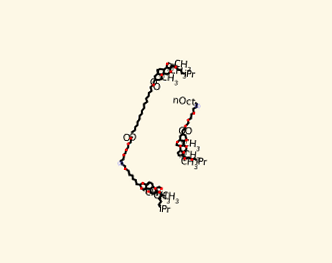 CC(C)CCC[C@@H](C)[C@H]1CCC2C3CC=C4CC(CCCCCCCC/C=C\CCCCCCCC(=O)OCCCCCCCCCCCCCCCCCC(=O)OC5CC[C@@]6(C)C(=CCC7C6CC[C@@]6(C)C7CC[C@@H]6[C@H](C)CCCC(C)C)C5)CC[C@]4(C)C3CC[C@@]21C.CCCCCCCC/C=C\CCCCCCCC(=O)OC1CC[C@@]2(C)C(CCC3C2CC[C@@]2(C)C3CC[C@@H]2[C@H](C)CCCC(C)C)C1